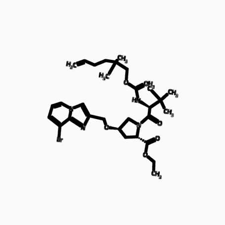 C=CCCC(C)(C)COC(=O)N[C@H](C(=O)N1C[C@H](OCc2cn3cccc(Br)c3n2)C[C@H]1C(=O)OCC)C(C)(C)C